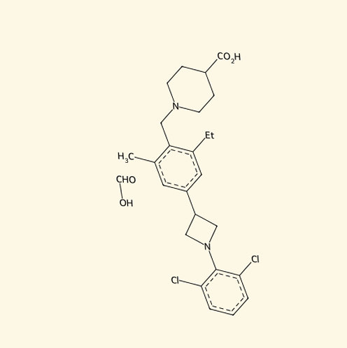 CCc1cc(C2CN(c3c(Cl)cccc3Cl)C2)cc(C)c1CN1CCC(C(=O)O)CC1.O=CO